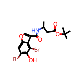 CC(CC(=O)OC(C)(C)C)NC(=O)c1coc2cc(Br)c(O)c(Br)c12